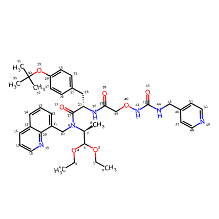 CCOC(OCC)[C@H](C)N(Cc1cccc2cccnc12)C(=O)[C@H](Cc1ccc(OC(C)(C)C)cc1)NC(=O)CONC(=O)NCc1ccncc1